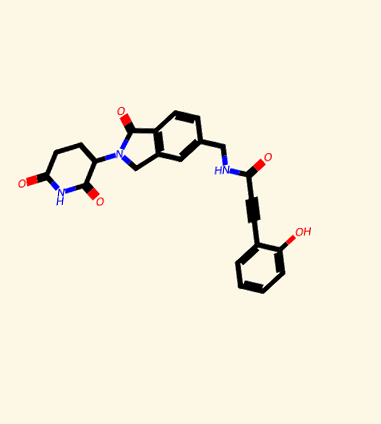 O=C(C#Cc1ccccc1O)NCc1ccc2c(c1)CN(C1CCC(=O)NC1=O)C2=O